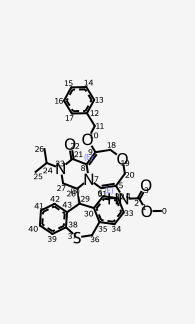 COC(=O)N/C1=C/N2/C(=C(/OCc3ccccc3)COC1)C(=O)N(C(C)C)C[C@@H]2C1c2ccccc2CSc2ccccc21